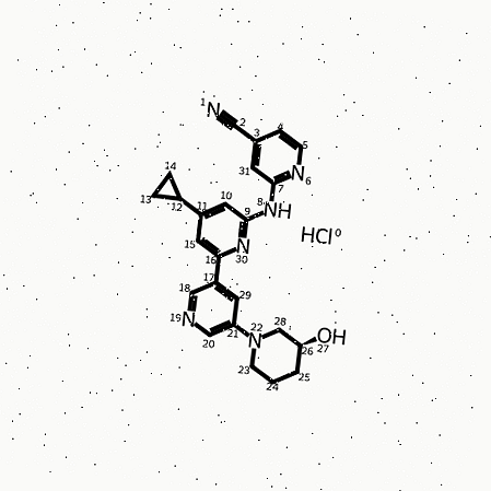 Cl.N#Cc1ccnc(Nc2cc(C3CC3)cc(-c3cncc(N4CCC[C@H](O)C4)c3)n2)c1